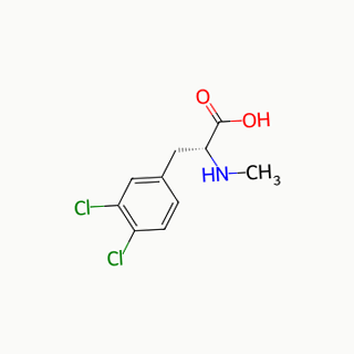 CN[C@H](Cc1ccc(Cl)c(Cl)c1)C(=O)O